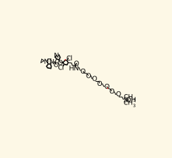 C[Si](C)(O)CCCOCCOCCOCCOCCOCCOCCOCCNC(=O)CCc1cc(Cl)c(Oc2ccncc2C(=O)N2CCN(C3CC3)c3ccccc32)cc1Cl